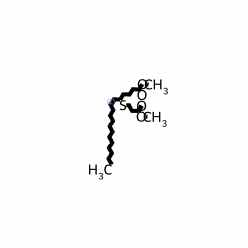 CCCCCCCCCCCC/C=C\C(CCCC(=O)OC)SCCC(=O)OC